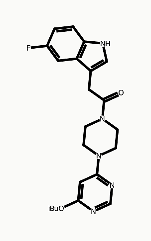 CC(C)COc1cc(N2CCN(C(=O)Cc3c[nH]c4ccc(F)cc34)CC2)ncn1